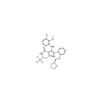 COc1c(Cl)cccc1Nc1c(-c2ccncc2OC[C@@H]2CCCO2)[nH]c2c1C(=O)NC(C(F)(F)F)C2